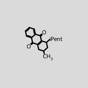 CCCC(C)C1CC(C)CC2=C1C(=O)c1ccccc1C2=O